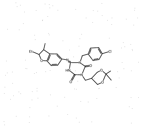 CCC1Oc2ccc(/N=c3\[nH]c(=O)n(CC4COC(C)(C)OC4)c(=O)n3Cc3ccc(Cl)cc3)cc2C1C